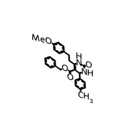 COc1ccc(CCC2=C(C(=O)OCc3ccccc3)C(c3ccc(C)cc3)NC(=O)N2)cc1